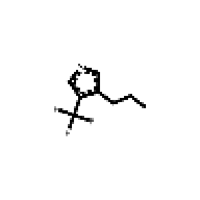 CCCc1cs[c]c1C(F)(F)F